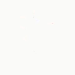 O=C(C1=C(O)C(=O)N(CCO)C1)c1ccc(Cc2ccc(F)cc2)o1